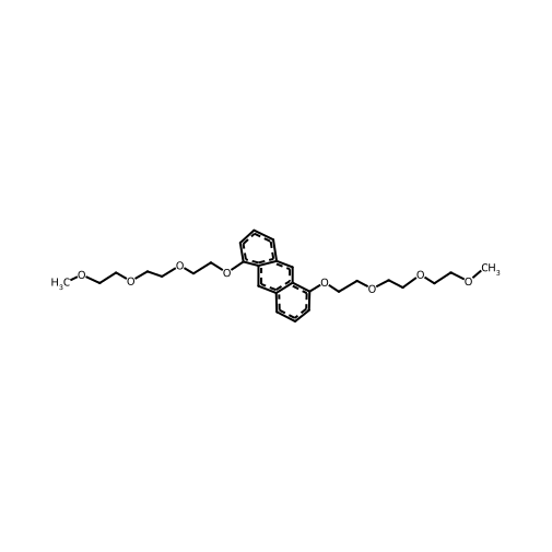 COCCOCCOCCOc1cccc2cc3c(OCCOCCOCCOC)cccc3cc12